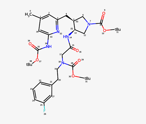 Cc1cc(C[C@H]2CN(C(=O)OC(C)(C)C)C[C@H]2NC(=O)CN(CCc2cccc(F)c2)C(=O)OC(C)(C)C)nc(NC(=O)OC(C)(C)C)c1